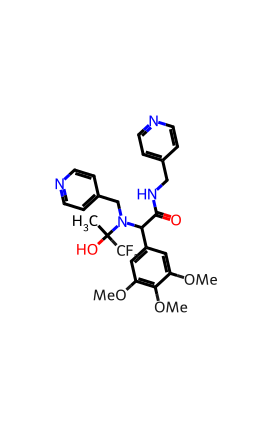 COc1cc(C(C(=O)NCc2ccncc2)N(Cc2ccncc2)C(C)(O)C(F)(F)F)cc(OC)c1OC